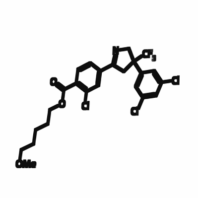 COCCCCCOC(=O)c1ccc(C2=NCC(c3cc(Cl)cc(Cl)c3)(C(F)(F)F)C2)cc1Cl